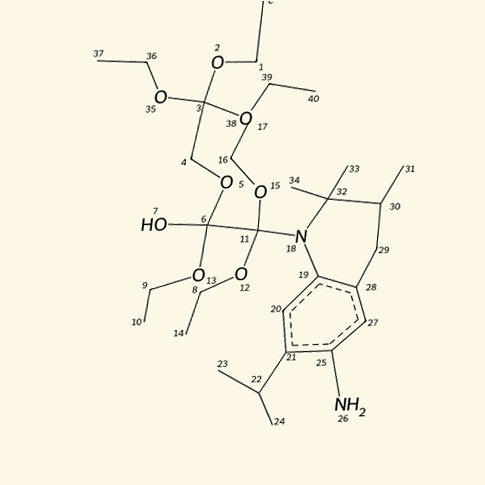 CCOC(COC(O)(OCC)C(OCC)(OCC)N1c2cc(C(C)C)c(N)cc2CC(C)C1(C)C)(OCC)OCC